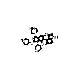 Cc1ccc2[nH]ncc2c1-c1c(Cl)cc2c(N3CCNCC3)nc(OC3CCN(C)CC3)nc2c1OC1CCOCC1